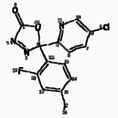 O=C1N=NC(c2ccc(Cl)cn2)(c2ccc(F)cc2F)O1